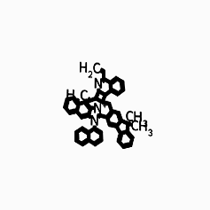 C=CC1=NC2C(C=C)C3(Cc4cc5c(cc4-c4n(-c6cccc7ccccc67)c6cc7ccccc7cc6[n+]43)-c3ccccc3C5(C)C)C2c2ccccc21